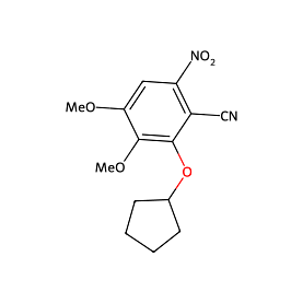 COc1cc([N+](=O)[O-])c(C#N)c(OC2CCCC2)c1OC